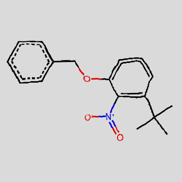 CC(C)(C)C1=C([N+](=O)[O-])C(OCc2ccccc2)=C=C=C1